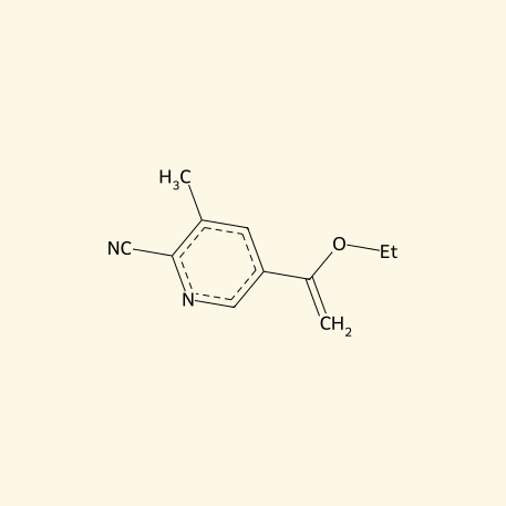 C=C(OCC)c1cnc(C#N)c(C)c1